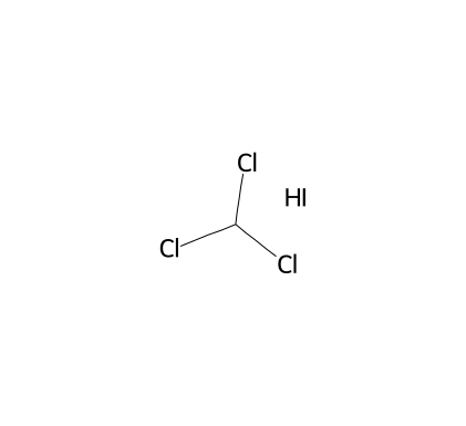 ClC(Cl)Cl.I